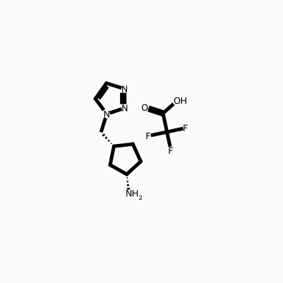 N[C@H]1CC[C@@H](Cn2ccnn2)C1.O=C(O)C(F)(F)F